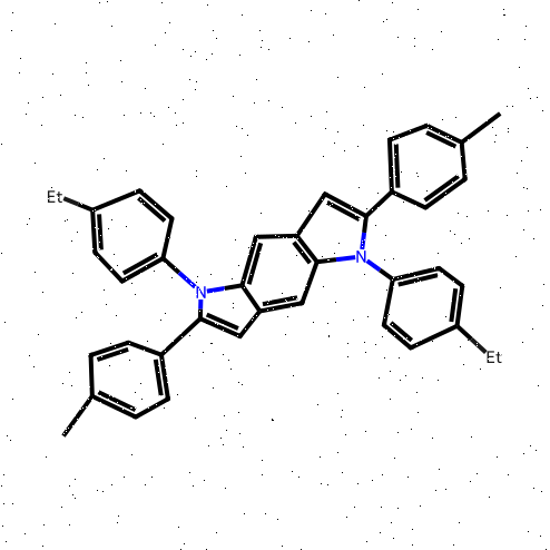 CCc1ccc(-n2c(-c3ccc(C)cc3)cc3cc4c(cc(-c5ccc(C)cc5)n4-c4ccc(CC)cc4)cc32)cc1